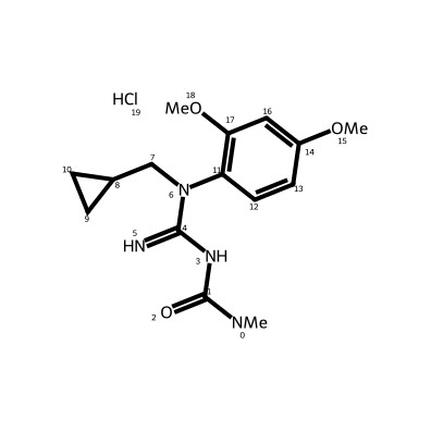 CNC(=O)NC(=N)N(CC1CC1)c1ccc(OC)cc1OC.Cl